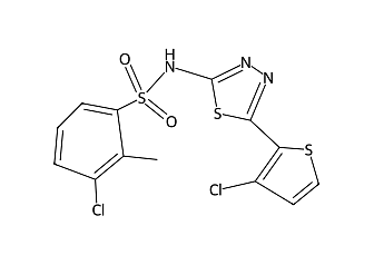 Cc1c(Cl)cccc1S(=O)(=O)Nc1nnc(-c2sccc2Cl)s1